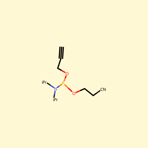 C#CCOP(OCCC#N)N(C(C)C)C(C)C